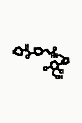 O=C(C=Cc1ccc(C(=O)Nc2ccncc2)cc1)NCc1cccn1-c1ccc(Cl)c(CO)c1Cl